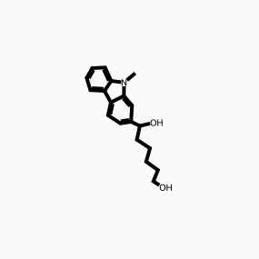 Cn1c2ccccc2c2ccc(C(O)CCCCCO)cc21